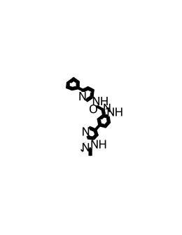 C=C(Nc1cncc(-c2ccc3[nH]nc(C(=O)Nc4ccc(-c5ccccc5)nc4)c3c2)c1)N(C)C